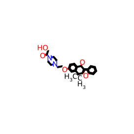 CC1(C)c2cc(OCCN3CCN(C(=O)CO)CC3)ccc2C(=O)c2c1oc1ccccc21